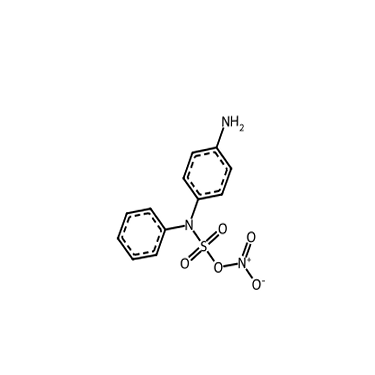 Nc1ccc(N(c2ccccc2)S(=O)(=O)O[N+](=O)[O-])cc1